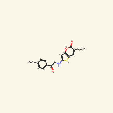 COc1ccc(C(=O)CNc2cc3oc(=O)c(C(=O)O)cc3s2)cc1